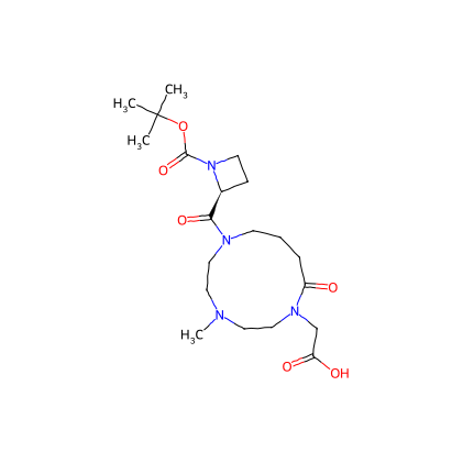 CN1CCN(CC(=O)O)C(=O)CCCN(C(=O)[C@@H]2CCN2C(=O)OC(C)(C)C)CC1